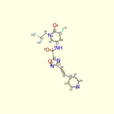 O=C(Nc1cc(F)c(=O)n(CC(F)F)c1)c1nc(C#Cc2ccncc2)no1